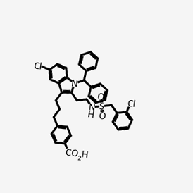 O=C(O)c1ccc(CCCc2c(CCNS(=O)(=O)Cc3ccccc3Cl)n(C(c3ccccc3)c3ccccc3)c3ccc(Cl)cc23)cc1